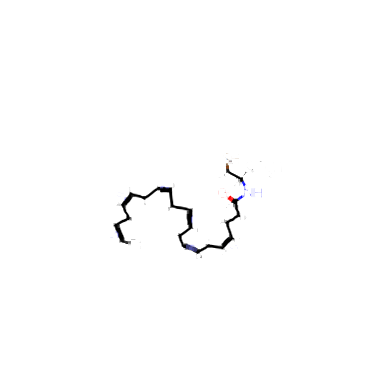 CC/C=C\C/C=C\C/C=C\C/C=C\C/C=C\C/C=C\CCC(=O)N[C@@H](CS)C(=O)O